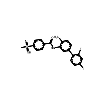 CS(=N)(=O)c1ccc(C(=O)Nc2cc(-c3ccc(F)cc3F)ccc2N)cc1